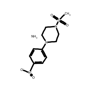 CS(=O)(=O)N1CCN(c2ccc([N+](=O)[O-])cc2)CC1.N